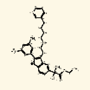 CCOC(=O)C(C)(C)c1ccc2[nH]c(-c3cc(C)cc(C)c3)c(CCNCCCCc3cccnc3)c2c1